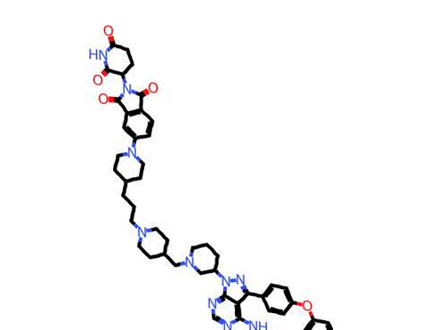 Nc1ncnc2c1c(-c1ccc(Oc3ccccc3)cc1)nn2C1CCCN(CC2CCN(CCCC3CCN(c4ccc5c(c4)C(=O)N(C4CCC(=O)NC4=O)C5=O)CC3)CC2)C1